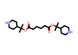 CC(C)(OC(=O)CCCCC(=O)OC(C)(C)C1CCNCC1)C1CCNCC1